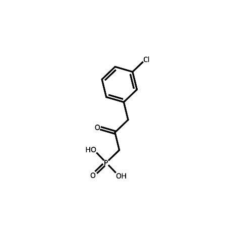 O=C(Cc1cccc(Cl)c1)CP(=O)(O)O